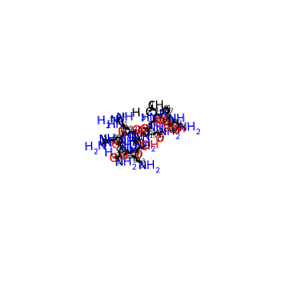 CC(C)C[C@H](NC(=O)CNC(=O)[C@H](CCC(N)=O)NC(=O)[C@@H]1CCCN1C(=O)[C@H](CCCNC(=N)N)NC(=O)[C@H](CCCNC(=N)N)NC(=O)[C@H](CCC(N)=O)NC(=O)[C@H](CCCCN)NC(=O)[C@@H](N)CO)C(=O)N1CCC[C@H]1C(=O)N[C@@H](CC(N)=O)C(=O)O